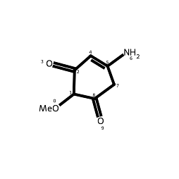 COC1C(=O)C=C(N)CC1=O